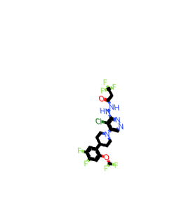 O=C(CC(F)(F)F)NNc1nncc(N2CCC(c3cc(F)c(F)cc3OC(F)F)CC2)c1Cl